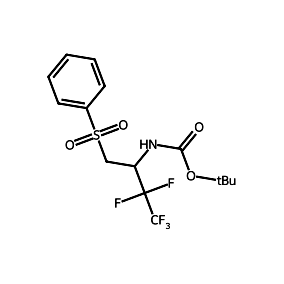 CC(C)(C)OC(=O)NC(CS(=O)(=O)c1ccccc1)C(F)(F)C(F)(F)F